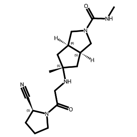 CNC(=O)N1C[C@@H]2C[C@@](C)(NCC(=O)N3CCC[C@H]3C#N)C[C@@H]2C1